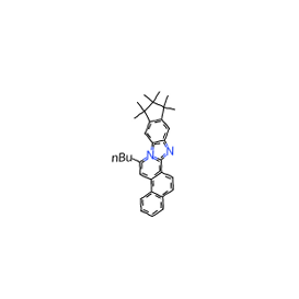 CCCCc1cc2c3ccccc3ccc2c2nc3cc4c(cc3n12)C(C)(C)C(C)(C)C4(C)C